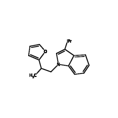 CC(C)c1cn(CC(C)c2ccco2)c2ccccc12